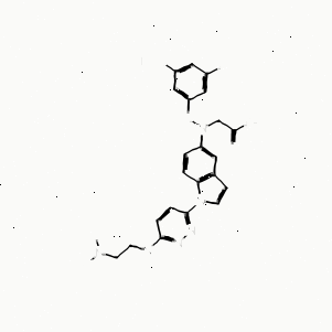 Cc1cc(C)cc(SN(CC(=O)O)c2ccc3c(ccn3-c3ccc(NCCN(C)C)nn3)c2)c1